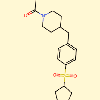 CC(=O)N1CCC(Cc2ccc(S(=O)(=O)C3CCCC3)cc2)CC1